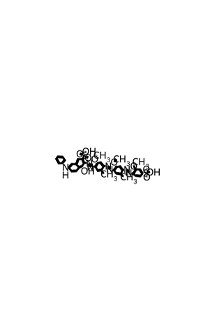 COc1cc(S(=O)(=O)O)ccc1N=Nc1cc(OC)c(N=Nc2cc(OC)c(N=Nc3c(S(=O)(=O)O)cc4cc(Nc5ccccc5)ccc4c3O)cc2C)cc1C